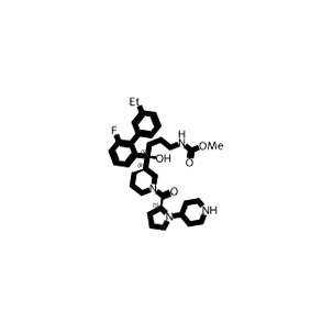 CCc1cccc(-c2c(F)cccc2[C@](O)(CCCNC(=O)OC)[C@@H]2CCCN(C(=O)[C@@H]3CCCN3C3CCNCC3)C2)c1